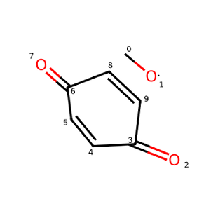 C[O].O=C1C=CC(=O)C=C1